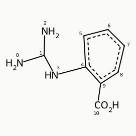 NC(N)Nc1ccccc1C(=O)O